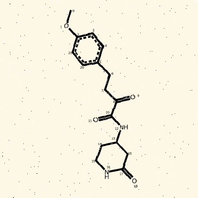 COc1ccc(CCC(=O)C(=O)NC2CCNC(=O)C2)cc1